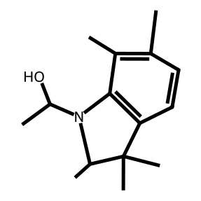 Cc1ccc2c(c1C)N(C(C)O)C(C)C2(C)C